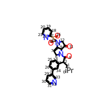 CC(C)CC(C(=O)N1CC=C2C1C(=O)CN2S(=O)(=O)c1ccccn1)c1cccc(-c2cccnc2)c1